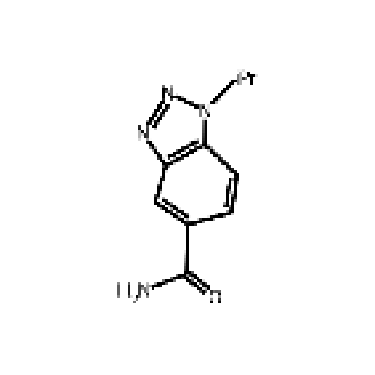 CC(C)n1nnc2cc(C(N)=O)ccc21